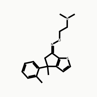 Cc1ccccc1C1(C)CC(=NOCCN(C)C)c2sccc21